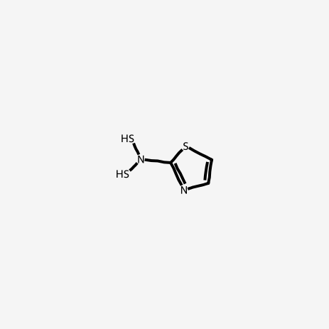 SN(S)c1nccs1